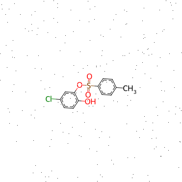 Cc1ccc(S(=O)(=O)Oc2cc(Cl)ccc2O)cc1